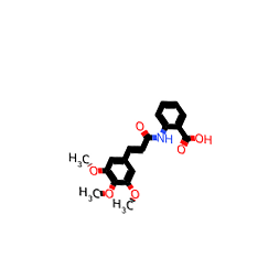 COc1cc(/C=C/C(=O)Nc2ccccc2C(=O)O)cc(OC)c1OC